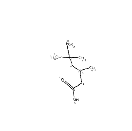 CN(CC(=O)O)CC(C)(C)N